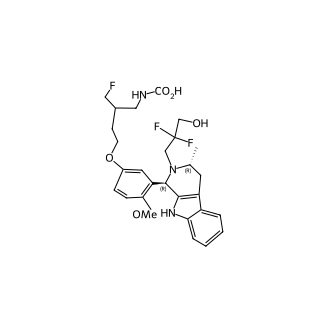 COc1ccc(OCCC(CF)CNC(=O)O)cc1[C@@H]1c2[nH]c3ccccc3c2C[C@@H](C)N1CC(F)(F)CO